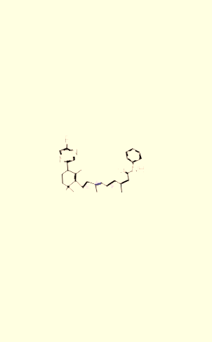 CC1=C(/C=C/C(C)=C/C=C/C(C)=C\C(=O)Nc2ccccc2)C(C)(C)CCC1c1cnc(F)cn1